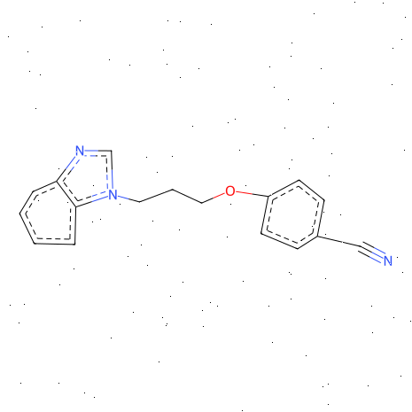 N#Cc1ccc(OCCCn2cnc3ccccc32)cc1